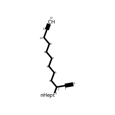 [C]#CC(CCCCCCC)CCCCCCCC#C